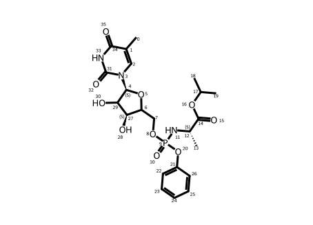 Cc1cn([C@H]2OC(COP(=O)(N[C@@H](C)C(=O)OC(C)C)Oc3ccccc3)[C@@H](O)C2O)c(=O)[nH]c1=O